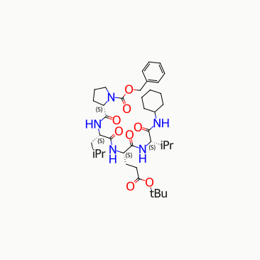 CC(C)C[C@H](NC(=O)[C@@H]1CCCN1C(=O)OCc1ccccc1)C(=O)N[C@@H](CCC(=O)OC(C)(C)C)C(=O)N[C@H](C(=O)NC1CCCCC1)C(C)C